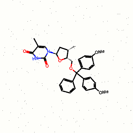 [CH2][C@H]1C[C@H](n2cc(C)c(=O)[nH]c2=O)O[C@H]1COC(c1ccccc1)(c1ccc(OC)cc1)c1ccc(OC)cc1